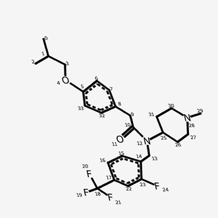 CC(C)COc1ccc(CC(=O)N(Cc2ccc(C(F)(F)F)cc2F)C2CCN(C)CC2)cc1